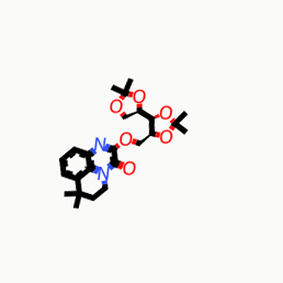 CC1(C)O[C@H]([C@H]2COC(C)(C)O2)[C@H](COc2nc3cccc4c3n(c2=O)CCC4(C)C)O1